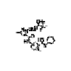 Cc1cc(C(=O)N[C@@H]2CCN(C)[C@@H](c3nc4ccccc4[nH]3)C2)n(C(C)(C)C)n1.O=C(O)C(F)(F)F